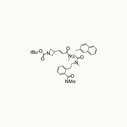 CNC(=O)c1ccccc1CCN(C)C(=O)[C@@H](Cc1ccc2ccccc2c1)N(C)C(=O)C=CC1CN(C(=O)OC(C)(C)C)C1